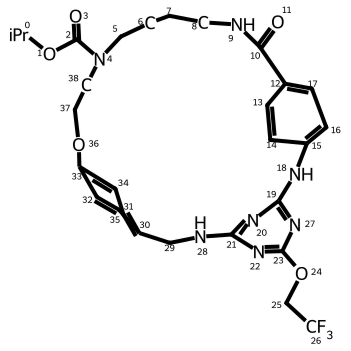 CC(C)OC(=O)N1CCCCNC(=O)c2ccc(cc2)Nc2nc(nc(OCC(F)(F)F)n2)NCc2ccc(cc2)OCC1